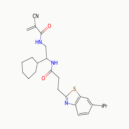 C=C(C#N)C(=O)NCC(NC(=O)CCc1nc2ccc(C(C)C)cc2s1)C1CCCCC1